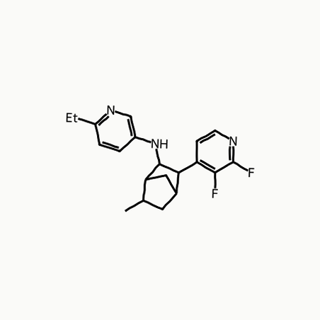 CCc1ccc(NC2C3CC(CC3C)C2c2ccnc(F)c2F)cn1